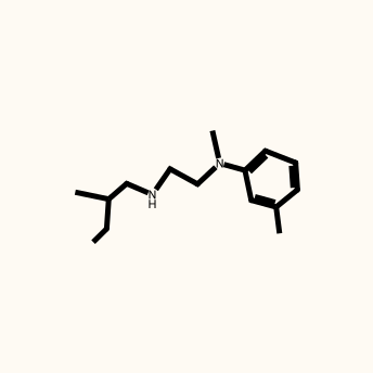 CCC(C)CNCCN(C)c1cccc(C)c1